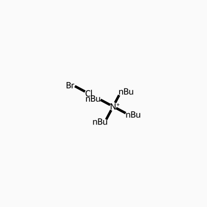 CCCC[N+](CCCC)(CCCC)CCCC.ClBr